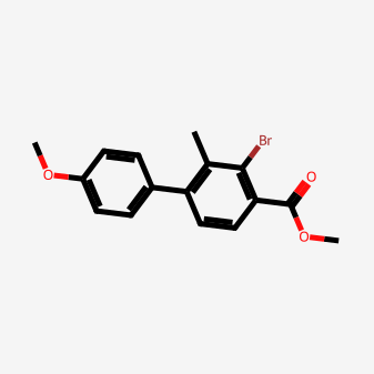 COC(=O)c1ccc(-c2ccc(OC)cc2)c(C)c1Br